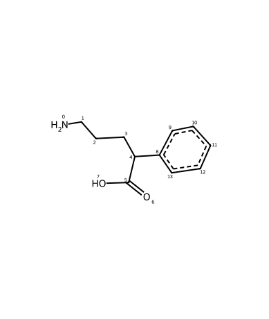 NCCCC(C(=O)O)c1ccccc1